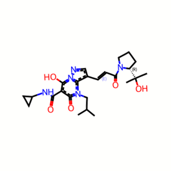 CC(C)Cn1c(=O)c(C(=O)NC2CC2)c(O)n2ncc(/C=C/C(=O)N3CCC[C@@H]3C(C)(C)O)c12